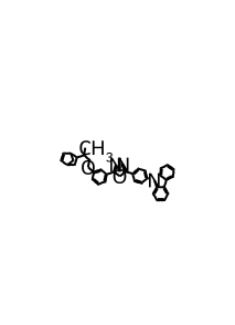 CC(COc1cccc(-c2nnc(-c3ccc(-n4c5ccccc5c5ccccc54)cc3)o2)c1)C1CC2C=CC1C2